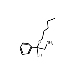 CCCCCOC(O)(CN)c1ccccc1